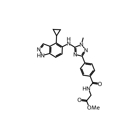 COC(=O)CNC(=O)c1ccc(-c2nc(Nc3ccc4[nH]ncc4c3C3CC3)n(C)n2)cc1